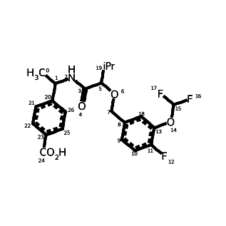 CC(NC(=O)C(OCc1ccc(F)c(OC(F)F)c1)C(C)C)c1ccc(C(=O)O)cc1